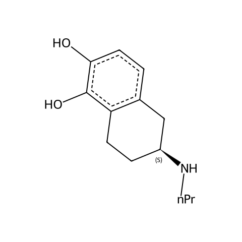 CCCN[C@H]1CCc2c(ccc(O)c2O)C1